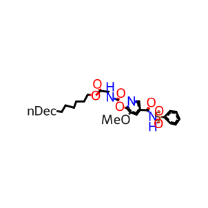 CCCCCCCCCCCCCCCCOC(=O)CNC(=O)Oc1ncc(C(=O)NS(=O)(=O)c2ccccc2)cc1OC